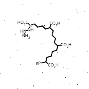 CCCC(CCCCC(CCCCC(CCCCN(NNN)C(=O)O)C(=O)O)C(=O)O)C(=O)O